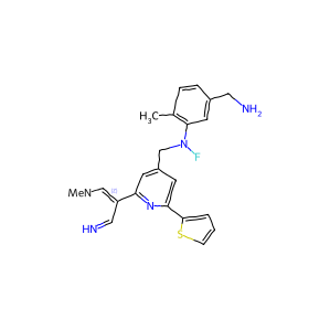 CN/C=C(\C=N)c1cc(CN(F)c2cc(CN)ccc2C)cc(-c2cccs2)n1